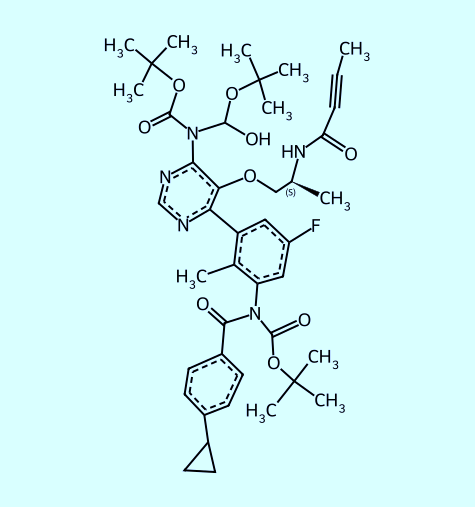 CC#CC(=O)N[C@@H](C)COc1c(-c2cc(F)cc(N(C(=O)OC(C)(C)C)C(=O)c3ccc(C4CC4)cc3)c2C)ncnc1N(C(=O)OC(C)(C)C)C(O)OC(C)(C)C